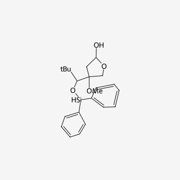 COC1(C(O[SiH](c2ccccc2)c2ccccc2)C(C)(C)C)COC(O)C1